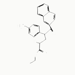 CCOC(=O)C(F)CC(C(=O)c1ccc2ccccc2c1)c1ccc(N)cc1